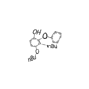 CCCCOc1ccc(O)c(Oc2ccccc2)c1CCCC